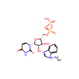 O=c1ccn([C@@H]2O[C@H](COP(=O)([O-])OP(=O)([O-])O)[C@@H](O)[C@H]2O)c(=O)[nH]1.[Na+].[Na+].c1ccc2[nH]cnc2c1